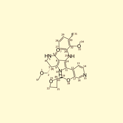 COC[C@@H]1CNC(=O)c2c1[nH]c(-c1ccncc1OC[C@H]1CCO1)c2Nc1cccc(F)c1OC